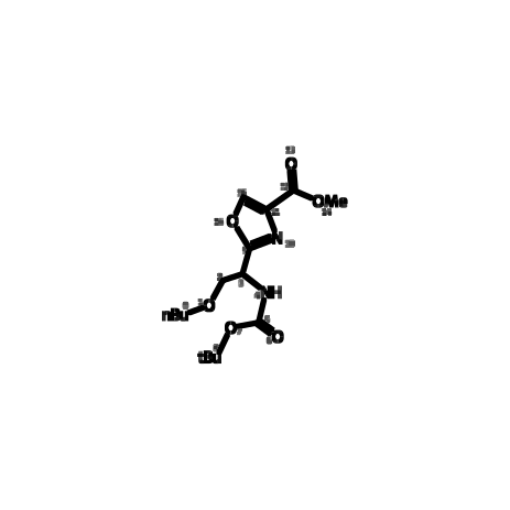 CCCCOCC(NC(=O)OC(C)(C)C)c1nc(C(=O)OC)co1